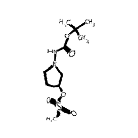 CC(C)(C)OC(=O)NN1CC[C@H](OS(C)(=O)=O)C1